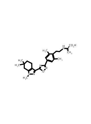 Cc1cc(-c2noc(-c3nn(C)c4c3CCC(C)(C)C4)n2)cc(C)c1CCN[C@H](C)C(=O)O